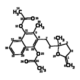 C=C1CCC(C)(CCc2c(C)c(OC(C)=O)c3ccccc3c2OC(C)=O)O1